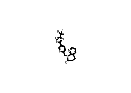 O=C1CCc2cccnc2N1Cc1ccc(-c2noc(C(F)(F)F)n2)cn1